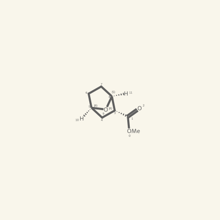 COC(=O)[C@@H]1C[C@H]2CC[C@@H]1O2